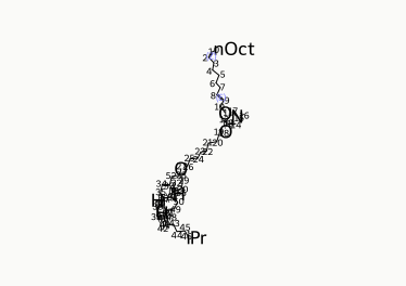 CCCCCCCC/C=C\CCCCC/C=C/COC[C@@H](CN(C)C)OCCCCCCCCOC1CC[C@@]2(C)C(=CC[C@H]3[C@@H]4CC[C@H]([C@H](C)CCCC(C)C)[C@@]4(C)CC[C@@H]32)C1